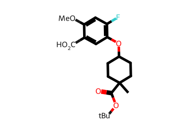 COc1cc(F)c(OC2CCC(C)(C(=O)OC(C)(C)C)CC2)cc1C(=O)O